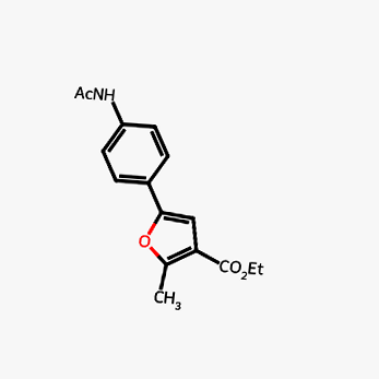 CCOC(=O)c1cc(-c2ccc(NC(C)=O)cc2)oc1C